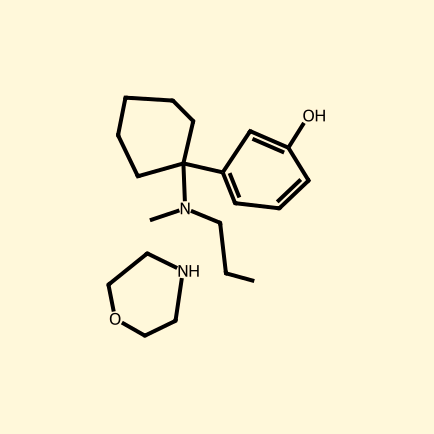 C1COCCN1.CCCN(C)C1(c2cccc(O)c2)CCCCC1